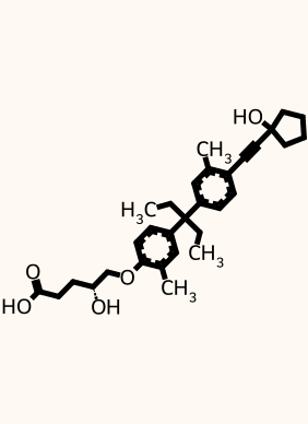 CCC(CC)(c1ccc(C#CC2(O)CCCC2)c(C)c1)c1ccc(OC[C@H](O)CCC(=O)O)c(C)c1